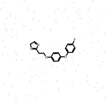 Fc1ccc(Oc2ccc(OCCC3=NCC=N3)cc2)cc1